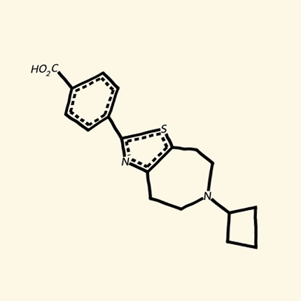 O=C(O)c1ccc(-c2nc3c(s2)CCN(C2CCC2)CC3)cc1